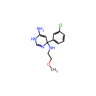 COCCNC1(c2cccc(Cl)c2)C=C(N)NC=N1